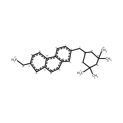 CC1(C)CC(Cc2ccc3c(ccc4cc(CP)ccc43)c2)CC(C)(C)C1